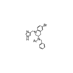 CC(=O)N(Cc1ccccc1)C1Cc2cc(Br)ccc2N(Cc2c[nH]cn2)C1